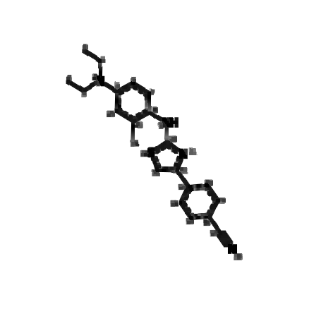 CCN(CC)c1ccc(Nc2nc(-c3ccc(C#N)cc3)cs2)c(C)c1